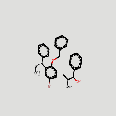 CNC(C)C(O)c1ccccc1.O=C(O)C[C@H](c1ccccc1)c1cc(Br)ccc1OCc1ccccc1